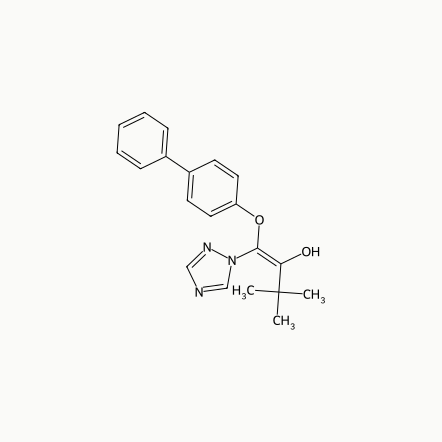 CC(C)(C)C(O)=C(Oc1ccc(-c2ccccc2)cc1)n1cncn1